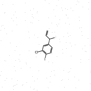 [CH2]C(C=C)c1ccc(I)c(Cl)c1